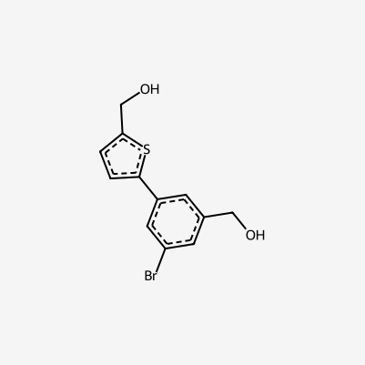 OCc1cc(Br)cc(-c2ccc(CO)s2)c1